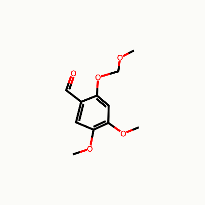 COCOc1cc(OC)c(OC)cc1C=O